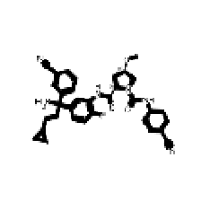 CO[C@@H]1C[C@H](C(=O)Nc2cc(C(N)(CCC3CC3)c3cccc(C#N)c3)ccc2F)N(C(=O)Nc2ccc(C#N)cc2)C1